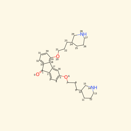 O=C1c2ccc(OCCCC3CCCNC3)cc2-c2c(OCCCC3CCCNC3)cccc21